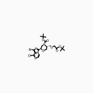 CC(C)(C)OC(=O)COC[C@@H]1CO[C@@H](c2nc(Br)c3c(Cl)nccn23)CN1C(=O)OC(C)(C)C